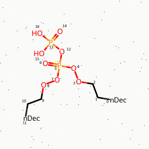 CCCCCCCCCCCCOOP(=O)(OOCCCCCCCCCCCC)OP(=O)(O)O